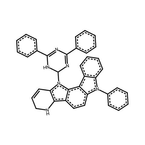 C1=Cc2c(c3ccc4c(c5ccccc5n4-c4ccccc4)c3n2C2N=C(c3ccccc3)N=C(c3ccccc3)N2)NC1